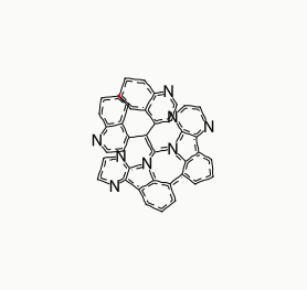 c1ccc2c(C(c3ccnc4ccccc34)=c3n4c5nccnc5c5cccc(c6cccc7c8nccnc8n3c67)c54)ccnc2c1